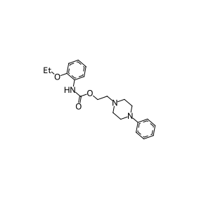 CCOc1ccccc1NC(=O)OCCN1CCN(c2ccccc2)CC1